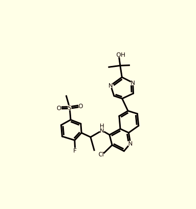 CC(Nc1c(Cl)cnc2ccc(-c3cnc(C(C)(C)O)nc3)cc12)c1cc(S(C)(=O)=O)ccc1F